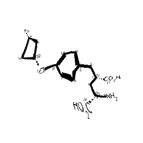 N[C@@H](C[C@H](Cc1ccc(O[C@H]2C[C@@H](F)C2)cc1)C(=O)O)C(=O)O